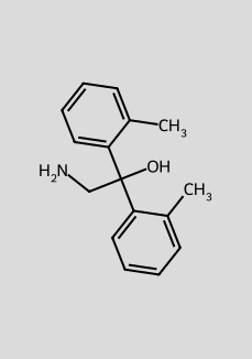 Cc1ccccc1C(O)(CN)c1ccccc1C